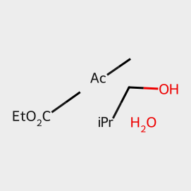 CC(C)=O.CC(C)CO.CCOC(C)=O.O